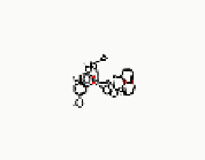 COc1ccc2c(c1)[C@]13CCN(CC4CC4)[C@H](C2)[C@]1(O)CC[C@](CO)(N(Cc1ccccc1)Cc1ccccc1)C3